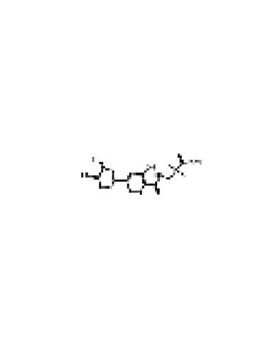 C=C(NCC(C)(C)C(=C)O)c1ncc(C2=CC(=N)C(=N)C=C2)cc1O